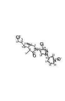 C#CCN(C(=O)C(C)CSCCC(F)(F)F)c1cn(-c2ccc[n+]([O-])c2)nc1Cl